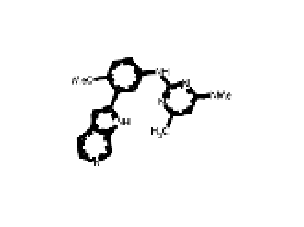 CNc1cc(C)nc(Nc2ccc(OC)c(-c3cc4ccncc4[nH]3)c2)n1